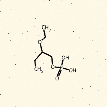 CCOC(CC)COP(=O)(O)O